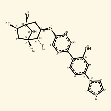 [2H][C@]12C[C@@H](Oc3cnc(-c4ccc(-n5ccnc5)cc4O)nn3)[C@H](F)[C@]([2H])(C[C@H]1F)N2